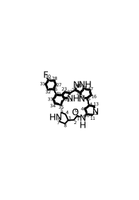 O=C(CC1CCNCC1)Nc1cncc(-c2ccc3[nH]nc(-c4cc5c(-c6ccc(F)cc6)cccc5[nH]4)c3n2)c1